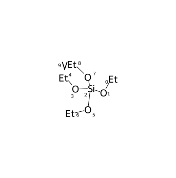 CCO[Si](OCC)(OCC)OCC.[V]